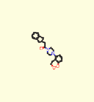 O=C(CC1Cc2ccccc2C1)N1CCN(c2cccc3c2CCOO3)CC1